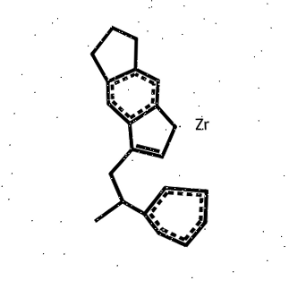 CC(CC1=C[CH]c2cc3c(cc21)CCC3)c1ccccc1.[Zr]